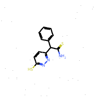 NC(=S)C(c1ccccc1)c1ccc(S)nn1